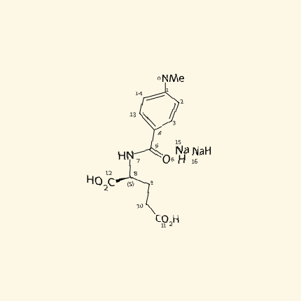 CNc1ccc(C(=O)N[C@@H](CCC(=O)O)C(=O)O)cc1.[NaH].[NaH]